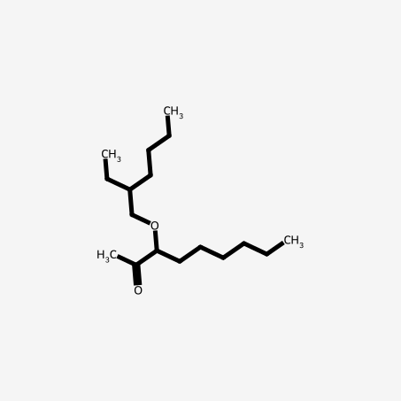 CCCCCCC(OCC(CC)CCCC)C(C)=O